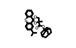 CC(C)c1ccc2c(c1)C1(OCC(C)(C(=O)OC34CC5CC(CC(C5)C3)C4)O1)c1ccccc1S2